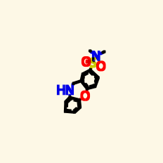 CN(C)S(=O)(=O)c1ccc2c(c1)CNc1ccccc1O2